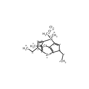 CCC1C=C2C(C)=[C]1[Zr+2][C]1=C(C)C(=CC1CC)[Si]2(C)C.[Cl-].[Cl-]